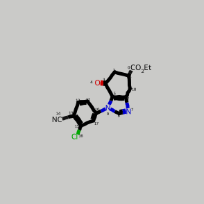 CCOC(=O)C1CC(=O)c2c(ncn2-c2ccc(C#N)c(Cl)c2)C1